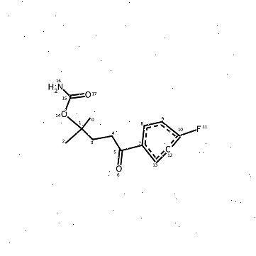 CC(C)(CCC(=O)c1ccc(F)cc1)OC(N)=O